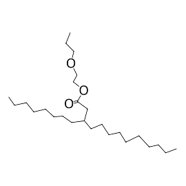 CCCCCCCCCCC(CCCCCCCC)CC(=O)OCCOCCC